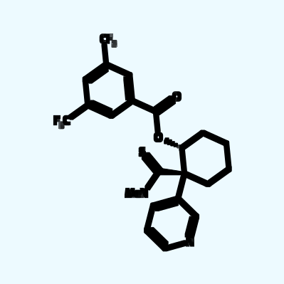 CNC(=S)[C@]1(c2cccnc2)CCCC[C@H]1OC(=O)c1cc(C(F)(F)F)cc(C(F)(F)F)c1